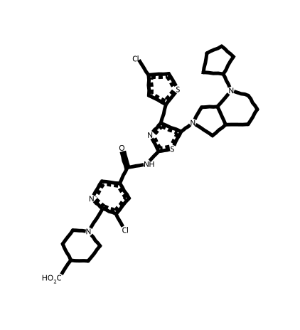 O=C(Nc1nc(-c2cc(Cl)cs2)c(N2CC3CCCN(C4CCCC4)C3C2)s1)c1cnc(N2CCC(C(=O)O)CC2)c(Cl)c1